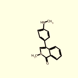 CNc1ccc(-c2cn(C)c(=O)c3ccccc23)cc1